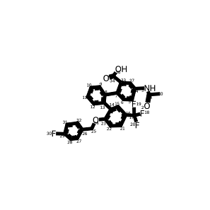 CC(=O)Nc1ccc(-c2ccccc2-c2cc(C(F)(F)F)ccc2OCc2ccc(F)cc2)c(C(=O)O)c1